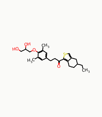 CCC1CCc2c(csc2C(=O)CCc2cc(C)c(OCC(O)CO)c(C)c2)C1